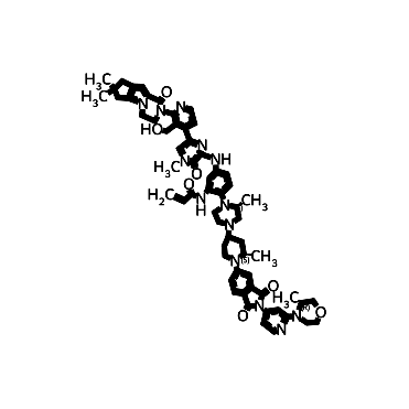 C=CC(=O)Nc1cc(Nc2nc(-c3ccnc(N4CCn5c(cc6c5CC(C)(C)C6)C4=O)c3CO)cn(C)c2=O)ccc1N1CCN(C2CCN(c3ccc4c(c3)C(=O)N(c3ccnc(N5CCOC[C@H]5C)c3)C4=O)[C@@H](C)C2)C[C@@H]1C